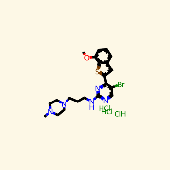 COc1cccc2cc(-c3nc(NCCCN4CCN(C)CC4)ncc3Br)sc12.Cl.Cl.Cl